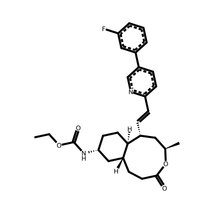 CCOC(=O)N[C@@H]1CC[C@@H]2[C@H](CCC(=O)O[C@H](C)C[C@H]2/C=C/c2ccc(-c3cccc(F)c3)cn2)C1